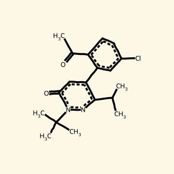 CC(=O)c1ccc(Cl)cc1-c1cc(=O)n(C(C)(C)C)nc1C(C)C